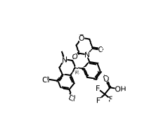 CN1Cc2c(Cl)cc(Cl)cc2[C@H](c2ccccc2N2C(=O)COCC2=O)C1.O=C(O)C(F)(F)F